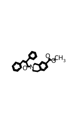 COC(=O)c1ccc2c(c1)CN(C(=O)/C(=C\c1ccccc1)c1ccccc1)CC2